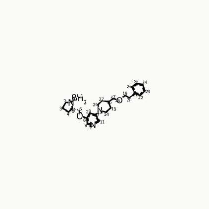 BN1CCC[C@H]1COc1cncc(N2CCC(COCCc3ccccc3)CC2)c1